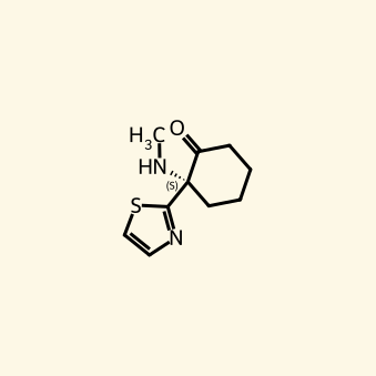 CN[C@@]1(c2nccs2)CCCCC1=O